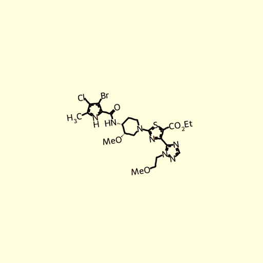 CCOC(=O)c1sc(N2CC[C@@H](NC(=O)c3[nH]c(C)c(Cl)c3Br)[C@@H](OC)C2)nc1-c1ncnn1CCOC